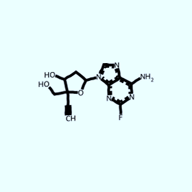 C#CC1(CO)OC(n2cnc3c(N)nc(F)nc32)CC1O